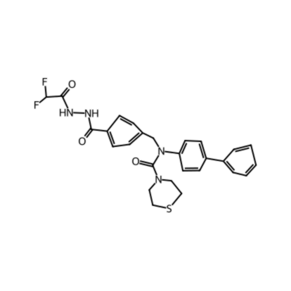 O=C(NNC(=O)C(F)F)c1ccc(CN(C(=O)N2CCSCC2)c2ccc(-c3ccccc3)cc2)cc1